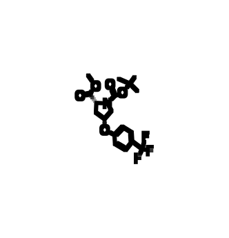 COC(=O)[C@H]1C[C@@H](Oc2ccc(C(F)(F)F)cc2)CN1C(=O)OC(C)(C)C